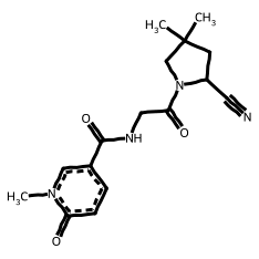 Cn1cc(C(=O)NCC(=O)N2CC(C)(C)CC2C#N)ccc1=O